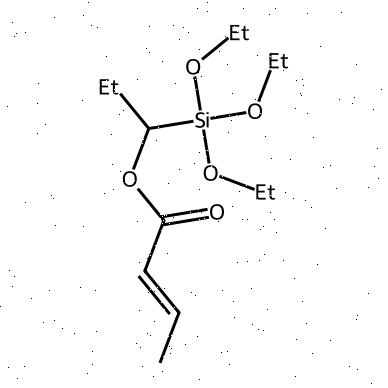 CC=CC(=O)OC(CC)[Si](OCC)(OCC)OCC